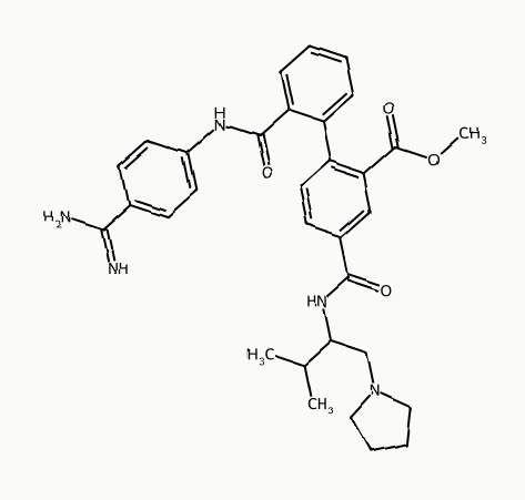 COC(=O)c1cc(C(=O)NC(CN2CCCC2)C(C)C)ccc1-c1ccccc1C(=O)Nc1ccc(C(=N)N)cc1